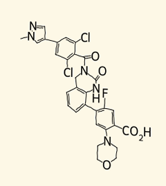 Cn1cc(-c2cc(Cl)c(C(=O)N3Cc4cccc(-c5cc(N6CCOCC6)c(C(=O)O)cc5F)c4NC3=O)c(Cl)c2)cn1